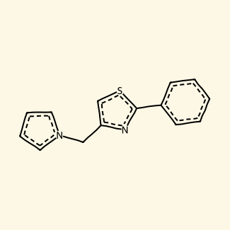 c1ccc(-c2nc(Cn3cccc3)cs2)cc1